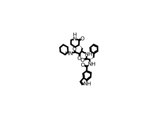 O=C(NC1CCCCC1)C(=O)C(C[C@@H]1CCCNC1=O)NC(=O)[C@H](Cc1ccccc1)NC(=O)c1ccc2[nH]ccc2c1